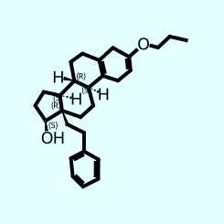 CCCOC1=CCC2=C(CC[C@@H]3[C@@H]2CC[C@]2(CCc4ccccc4)[C@@H](O)CC[C@@H]32)C1